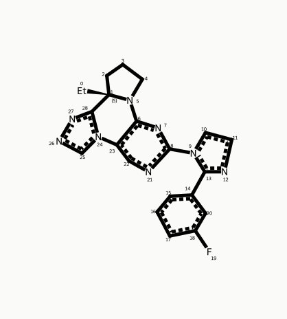 CC[C@@]12CCCN1c1nc(-n3ccnc3-c3cccc(F)c3)ncc1-n1cnnc12